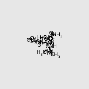 CCn1nc(C)cc1C(=O)Nc1nc2cc(C(N)=O)cc(OC)c2n1CCCNC(=O)OCC1COC(=O)C1